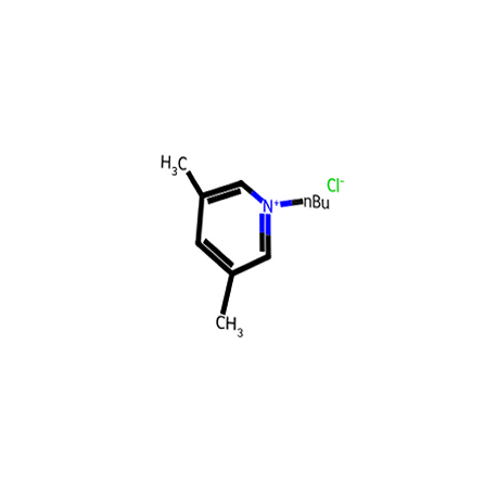 CCCC[n+]1cc(C)cc(C)c1.[Cl-]